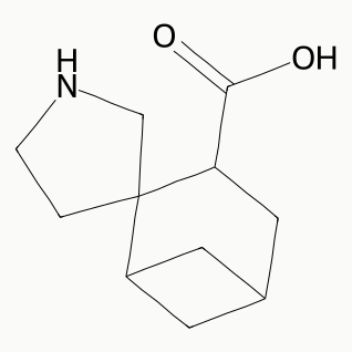 O=C(O)C1CC2CC(C2)C12CCNC2